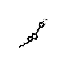 CCCCCc1ccc2cc(C#Cc3ccc(OC)cc3)ccc2c1